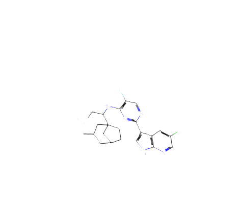 CC1CC2CCC(C(CC(=O)O)Nc3nc(-c4c[nH]c5ncc(Cl)cc45)ncc3F)(C1)C2